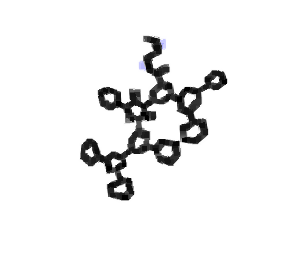 C=C(/C=C\C=C/C)c1cc(-c2cc(-c3ccccc3)cc(-c3ccccc3)c2)cc(C2NC(c3ccccc3)=NC(c3cc(-c4ccccc4)cc(-c4cc(-c5ccccc5)cc(-c5ccccc5)c4)c3)N2)c1